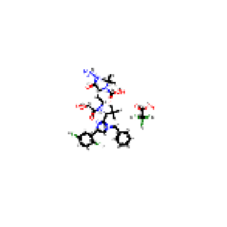 CC(C)(C)[C@H](c1nc(-c2cc(F)ccc2F)cn1Cc1ccccc1)N(CC[C@@H](C(=O)NN)N(C(=O)O)C(C)(C)C)C(=O)CO.O=C(O)C(F)(F)F